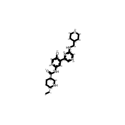 CC[C@@H]1CC[C@@H](C(=O)Nc2cc(-c3cncc(NCC4CCOCC4)n3)c(Cl)cn2)CN1